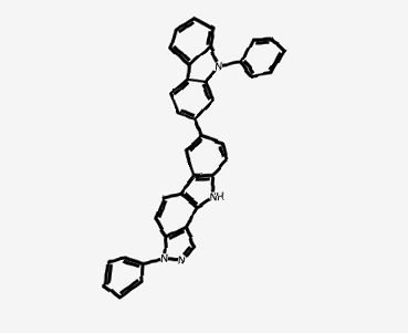 c1ccc(-n2ncc3c4[nH]c5ccc(-c6ccc7c8ccccc8n(-c8ccccc8)c7c6)cc5c4ccc32)cc1